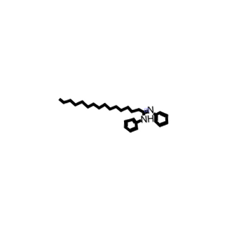 CCCCCCCCCCCCCCC/C(=N/c1ccccc1)Nc1ccccc1